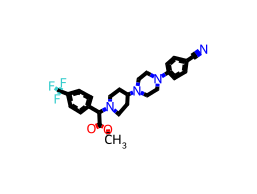 COC(=O)C(c1ccc(C(F)(F)F)cc1)N1CCC(N2CCN(c3ccc(C#N)cc3)CC2)CC1